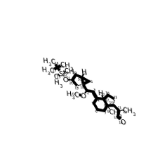 CO[C@H](/C=C1\CCC[C@]2(C)[C@@H]([C@H](C)C=O)CC[C@@H]12)[C@@]12C[C@@H](O[Si](C)(C)C(C)(C)C)C[C@@H]1C2